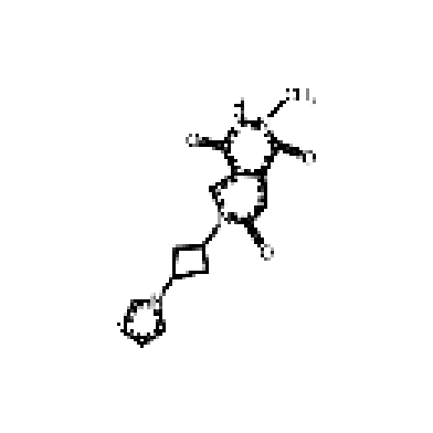 Cn1[nH]c(=O)c2cn(C3CC(n4ccnc4)C3)c(=O)cc2c1=O